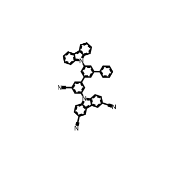 N#Cc1cc(-c2cc(-c3ccccc3)cc(-n3c4ccccc4c4ccccc43)c2)cc(-n2c3ccc(C#N)cc3c3cc(C#N)ccc32)c1